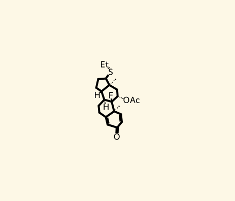 CCSC1CC[C@H]2[C@@H]3CCC4=CC(=O)C=C[C@]4(C)[C@@]3(F)[C@@H](OC(C)=O)C[C@]12C